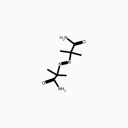 CC(C)(N=NC(C)(C)C(N)=O)C(N)=O